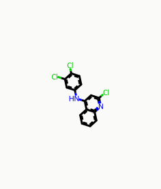 Clc1cc(Nc2ccc(Cl)c(Cl)c2)c2ccccc2n1